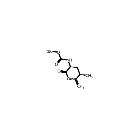 C=C[C@H](C)C[C@H](NC(=O)OC(C)(C)C)C(=O)OC